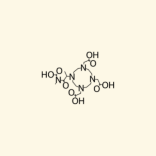 CC(C(=O)N(C)C(=O)O)N1CCN(CC(=O)O)CCN(CC(=O)O)CCN(CC(=O)O)CC1